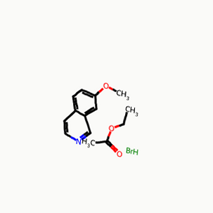 Br.CCOC(C)=O.COc1ccc2ccncc2c1